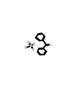 O=C(c1ccccc1)c1ccccc1.O=S(=O)(Cl)Cl